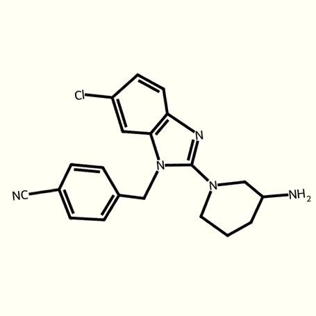 N#Cc1ccc(Cn2c(N3CCCC(N)C3)nc3ccc(Cl)cc32)cc1